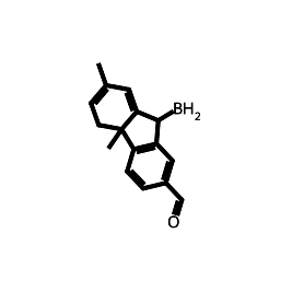 BC1C2=CC(C)=CCC2(C)c2ccc(C=O)cc21